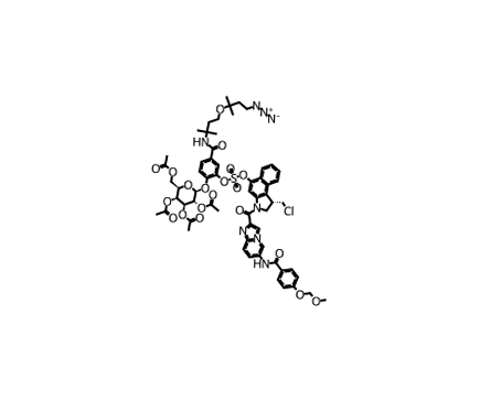 COCOc1ccc(C(=O)Nc2ccc3nc(C(=O)N4C[C@@H](CCl)c5c4cc(OS(=O)(=O)Oc4cc(C(=O)NC(C)(C)CCOC(C)(C)CCN=[N+]=[N-])ccc4O[C@@H]4O[C@H](COC(C)=O)[C@H](OC(C)=O)[C@H](OC(C)=O)[C@H]4OC(C)=O)c4ccccc54)cn3c2)cc1